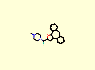 CN1CCN(C(F)C2CC3c4ccccc4Cc4ccccc4C3O2)CC1